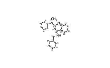 CN(c1ccccc1)c1nc(NCc2ccccc2)c2ccccc2n1